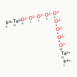 [Ir+4].[Ir+4].[O-2].[O-2].[O-2].[O-2].[O-2].[O-2].[O-2].[O-2].[O-2].[Ta+5].[Ta+5]